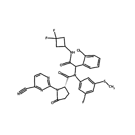 CSc1cc(F)cc(N(C(=O)[C@@H]2CCC(=O)N2c2nccc(C#N)n2)C(C(=O)NC2CC(F)(F)C2)c2ccccc2Cl)c1